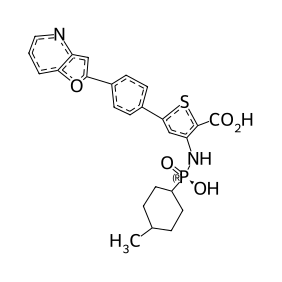 CC1CCC([P@@](=O)(O)Nc2cc(-c3ccc(-c4cc5ncccc5o4)cc3)sc2C(=O)O)CC1